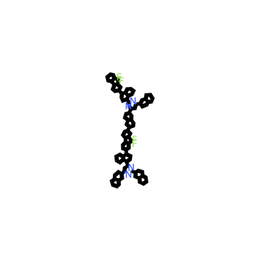 FC1(F)c2cc(-c3ccc4cc(-c5cc(-c6ccc7ccccc7c6)nc(-c6ccc(-c7ccc8c(c7)C(F)(F)c7ccccc7-8)c7ccccc67)n5)ccc4c3)ccc2-c2ccc(-c3ccc(-c4cc(-c5ccc6ccccc6c5)nc(-c5ccc6ccccc6c5)n4)c4ccccc34)cc21